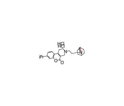 CC(C)c1ccc2c3c(c(=O)oc2c1)CN(CCN1CC2CCC(CC2)C1)CC3.Cl.Cl